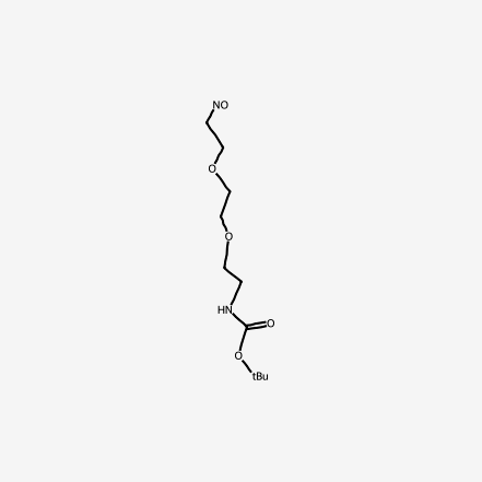 CC(C)(C)OC(=O)NCCOCCOCCN=O